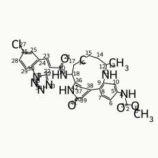 COC(=O)Nc1ccc2c(c1)NC(C)CCCCC(NC(=O)/C=C/c1cc(Cl)ccc1-n1cnnn1)c1cc-2cc(=O)[nH]1